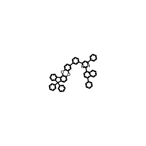 c1ccc(-c2cc(-c3cccc(-c4ccc5c(c4)Oc4ccc6c(c4O5)-c4ccccc4C6(c4ccccc4)c4ccccc4)c3)nc(-c3ccc(-c4ccccc4)c4ccccc34)n2)cc1